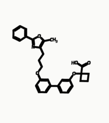 Cc1oc(-c2ccccc2)nc1CCCOc1cccc(-c2cccc(OC3(C(=O)O)CCC3)c2)c1